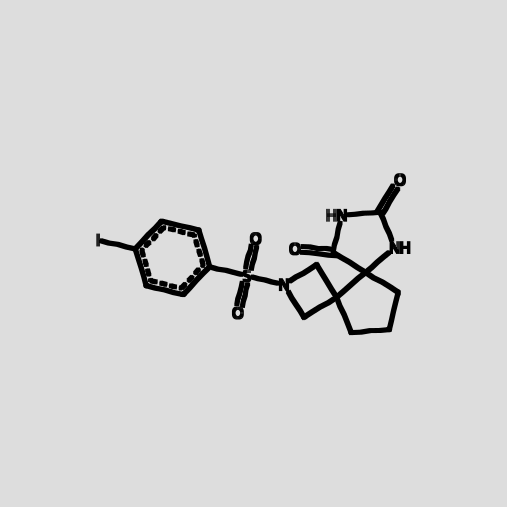 O=C1NC(=O)C2(CCCC23CN(S(=O)(=O)c2ccc(I)cc2)C3)N1